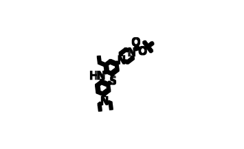 CCc1cc(N2CCN(C(=O)OC(C)(C)C)CC2)cc2c1Nc1ccc(N(CC)CC)cc1S2